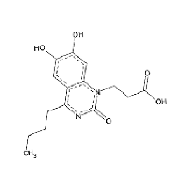 CCCCc1nc(=O)n(CCC(=O)O)c2cc(O)c(O)cc12